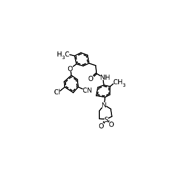 Cc1cc(N2CCS(=O)(=O)CC2)ccc1NC(=O)Cc1ccc(C)c(Oc2cc(Cl)cc(C#N)c2)c1